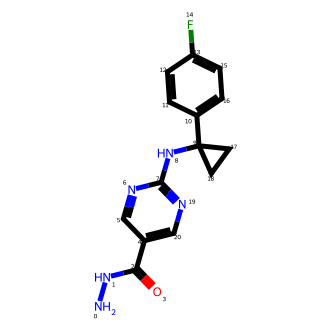 NNC(=O)c1cnc(NC2(c3ccc(F)cc3)CC2)nc1